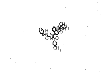 CC1CCN(C(=O)c2nc(C(=O)NC3CC34CCOCC4)sc2-c2ccc(S(=O)(=O)NC(C)(C)C)c3ccccc23)CC1